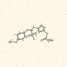 COC(=O)Cc1ccc(CN(Cc2ccc(CC(C)C)cc2)S(C)(=O)=O)s1